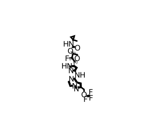 CC1(NC(=O)O[C@@H]2CO[C@H](c3cc(Nc4nccn5nc(COC(F)(F)F)cc45)n[nH]3)[C@H]2F)CC1